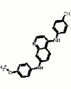 COc1ccc(Nc2ccc3c(Nc4ccc(C)cc4)ccnc3c2)cc1